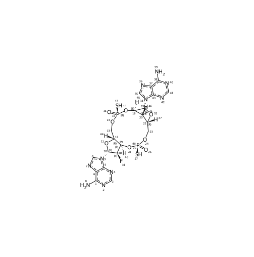 Nc1ncnc2c1ncn2[C@@H]1O[C@@H]2CO[P@@](=O)(S)O[C@@H]3[C@H](F)[C@@H](CO[P@@](=O)(S)O[C@H]2[C@H]1F)O[C@H]3n1cnc2c(N)ncnc21